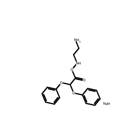 NCCNOC(=O)C(Oc1ccccc1)Oc1ccccc1.[NaH]